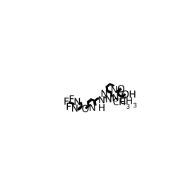 C[C@H](O)[C@H]1C(=O)N2CCCc3nc(NCc4ccc(Oc5cnc(C(F)(F)F)nc5)nc4)nc(c32)N1C